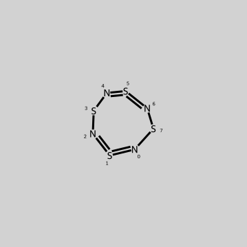 N1=S=NSN=S=NS1